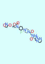 O=C(NCC(=O)N1CCN(c2ccc(N3C[C@H](COc4ccon4)OC3=O)cc2F)CC1)c1cn2cccnc2n1